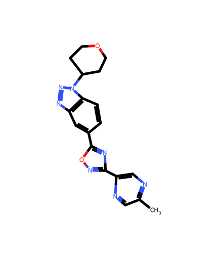 Cc1cnc(-c2noc(-c3ccc4c(c3)nnn4C3CCOCC3)n2)cn1